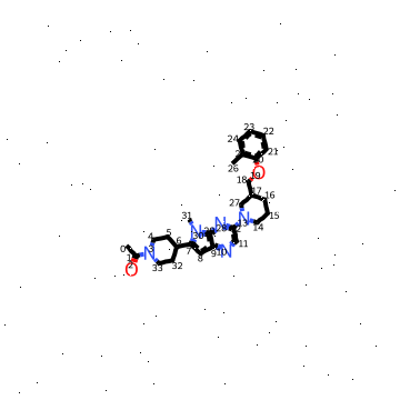 CC(=O)N1CCC(c2cc3ncc(N4CCCC(COc5ccccc5C)C4)nc3n2C)CC1